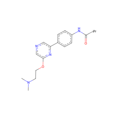 CC(C)C(=O)Nc1ccc(-c2cncc(OCCN(C)C)n2)cc1